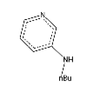 [CH2]CCCNc1cccnc1